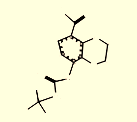 CC(C)(C)OC(=O)Nc1ccc(C(=O)O)c2c1OCCO2